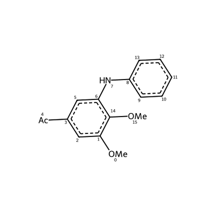 COc1cc(C(C)=O)cc(Nc2ccccc2)c1OC